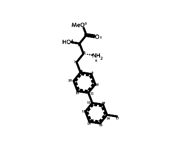 COC(=O)C(O)[C@H](N)Cc1ccc(-c2cccc(C)c2)cc1